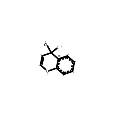 ClC1(Cl)C=COc2ccccc21